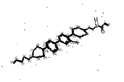 C=CC(=O)NCCC1CCC(c2ccc(-c3ccc(C4CCC(CCCCC)CC4)cc3)cc2F)CC1